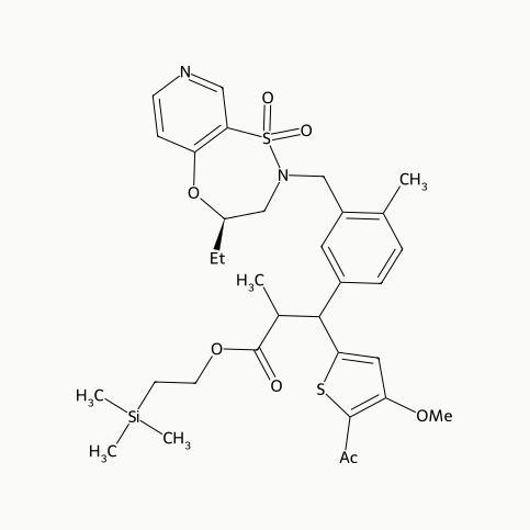 CC[C@@H]1CN(Cc2cc(C(c3cc(OC)c(C(C)=O)s3)C(C)C(=O)OCC[Si](C)(C)C)ccc2C)S(=O)(=O)c2cnccc2O1